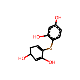 OC1=CC(O)CC=C1Sc1ccc(O)cc1O